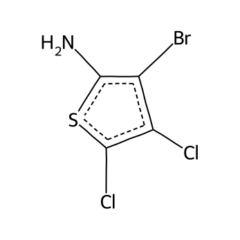 Nc1sc(Cl)c(Cl)c1Br